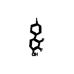 Oc1ccc(-c2ccc(I)cc2)c(F)c1F